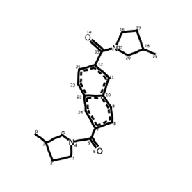 CC1CCN(C(=O)c2ccc3cc(C(=O)N4CCC(C)C4)ccc3c2)C1